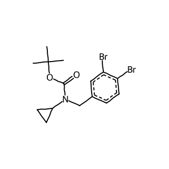 CC(C)(C)OC(=O)N(Cc1ccc(Br)c(Br)c1)C1CC1